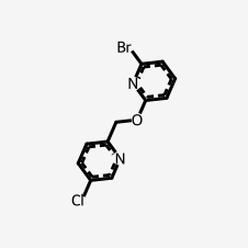 Clc1ccc(COc2cccc(Br)n2)nc1